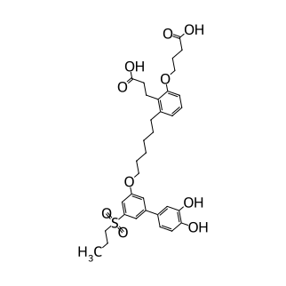 CCCS(=O)(=O)c1cc(OCCCCCCc2cccc(OCCCC(=O)O)c2CCC(=O)O)cc(-c2ccc(O)c(O)c2)c1